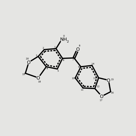 Nc1cc2c(cc1C(=O)c1ccc3c(c1)OCO3)OCO2